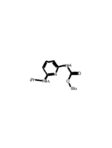 CC(C)Nc1cccc(NC(=O)OC(C)(C)C)n1